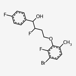 Cc1ccc(Br)c(F)c1OCCC(F)C(O)c1ccc(F)cc1